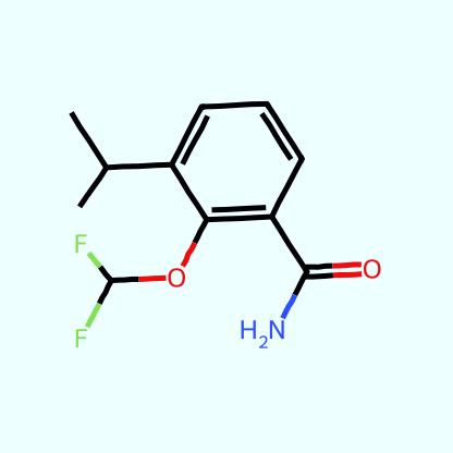 CC(C)c1cccc(C(N)=O)c1OC(F)F